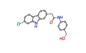 O=C(Cc1ccc2c(c1)[nH]c1cc(Cl)ccc12)Nc1ccc(CO)cc1